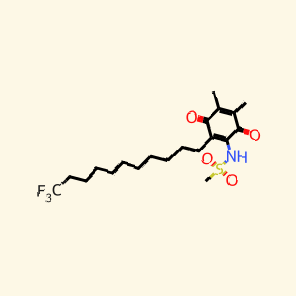 CC1=C(C)C(=O)C(NS(C)(=O)=O)=C(CCCCCCCCCCC(F)(F)F)C1=O